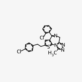 Cc1nnc2n1-c1sc(CCc3ccc(Cl)cc3)cc1C(c1ccccc1Cl)=NC2